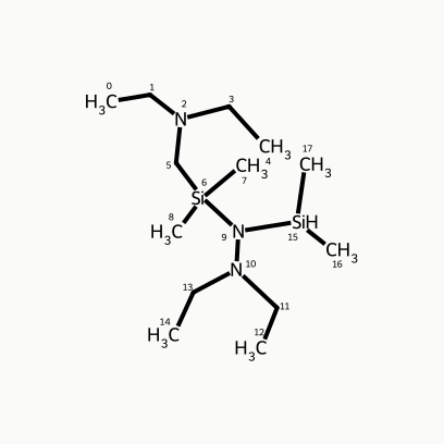 CCN(CC)C[Si](C)(C)N(N(CC)CC)[SiH](C)C